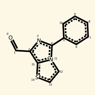 O=Cc1nc(-c2ccccc2)n2ccsc12